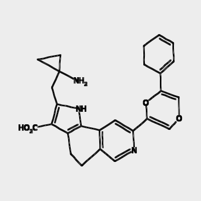 NC1(Cc2[nH]c3c(c2C(=O)O)CCc2cnc(C4=COC=C(C5=CC=CCC5)O4)cc2-3)CC1